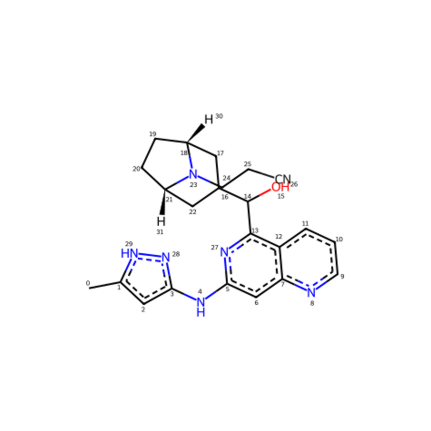 Cc1cc(Nc2cc3ncccc3c(C(O)C3C[C@H]4CC[C@@H](C3)N4CCC#N)n2)n[nH]1